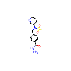 CS(=O)(=O)N(Cc1ccc(C(=O)NN)cc1)c1cccnc1